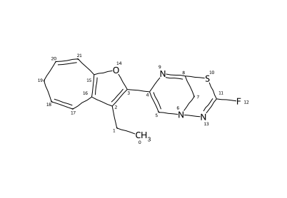 CCc1c(C2=CN3CC(=N2)SC(F)=N3)oc2c1C=CCC=C2